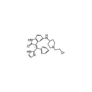 COCCN1CCC(Nc2ccc3c(c2)/C(=C(\c2ccccc2)c2ncc[nH]2)C(=O)N3)CC1